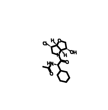 CC(=O)N[C@H](C(=O)N1C[C@H](Cl)[C@H]2OC[C@H](O)[C@H]21)C1CCCCC1